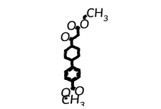 CCOC(=O)CC(=O)C1CCC(c2ccc(C(=O)OC)cc2)CC1